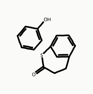 O=C1CCc2cccc(c2)S1.Oc1ccccc1